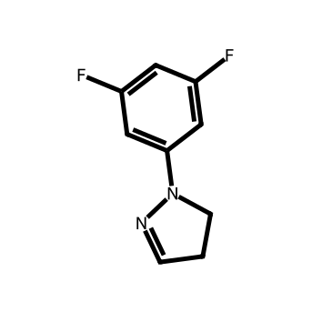 Fc1cc(F)cc(N2CCC=N2)c1